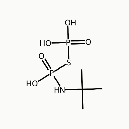 CC(C)(C)NP(=O)(O)SP(=O)(O)O